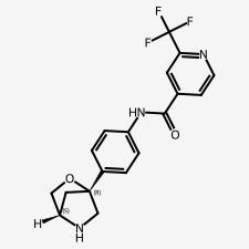 O=C(Nc1ccc([C@]23CN[C@H](CO2)C3)cc1)c1ccnc(C(F)(F)F)c1